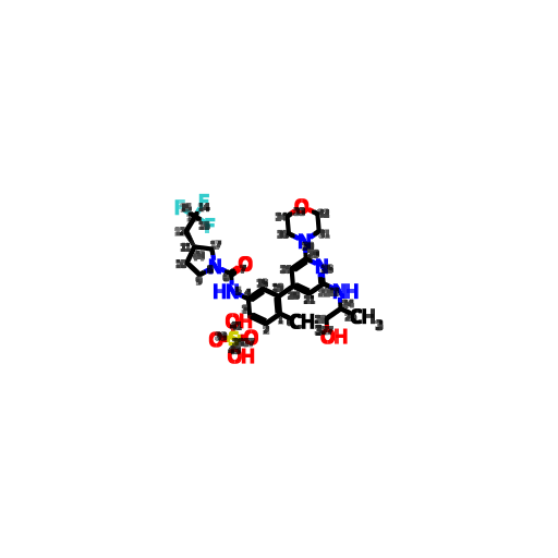 Cc1ccc(NC(=O)N2CC[C@@H](CC(F)(F)F)C2)cc1-c1cc(NC(C)CO)nc(N2CCOCC2)c1.O=S(=O)(O)O